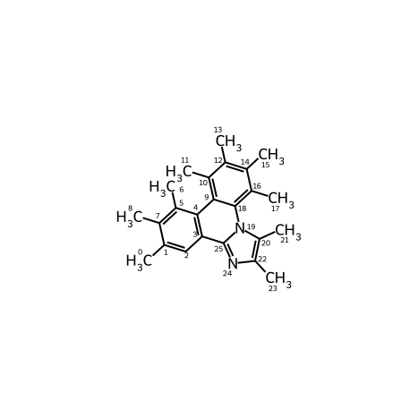 Cc1cc2c(c(C)c1C)c1c(C)c(C)c(C)c(C)c1n1c(C)c(C)nc21